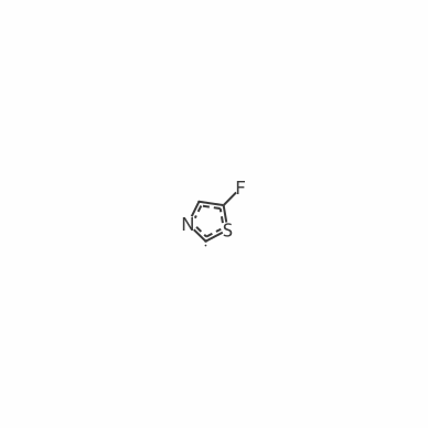 Fc1cn[c]s1